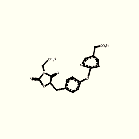 O=C(O)Cc1ccc(Oc2ccc(CC3SC(=S)N(CC(=O)O)C3=O)cc2)nc1